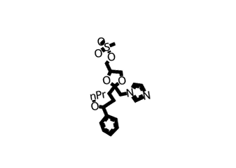 CCCOC(CCC1(Cn2ccnc2)OCC(COS(C)(=O)=O)O1)c1ccccc1